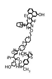 CCc1cccc2cc(O)cc(-c3ncc4c(N5CC6CCC(C5)N6)nc(OCCN5CCC(F)(CN6CCN(c7cc(C(C(=O)N8C[C@H](O)C[C@H]8C(=O)NC(C)c8ccc(-c9scnc9C)cc8)C(C)C)on7)[C@@H](C)C6)CC5)nc4c3F)c12